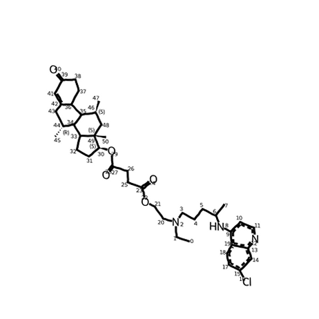 CCN(CCCC(C)Nc1ccnc2cc(Cl)ccc12)CCOC(=O)CCC(=O)O[C@H]1CCC2C3C(C4CCC(=O)C=C4C[C@H]3C)[C@@H](C)C[C@@]21C